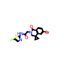 O=C(CN1CC2(CC2)c2cc(Br)ccc2C1=O)Nc1ncc(F)s1